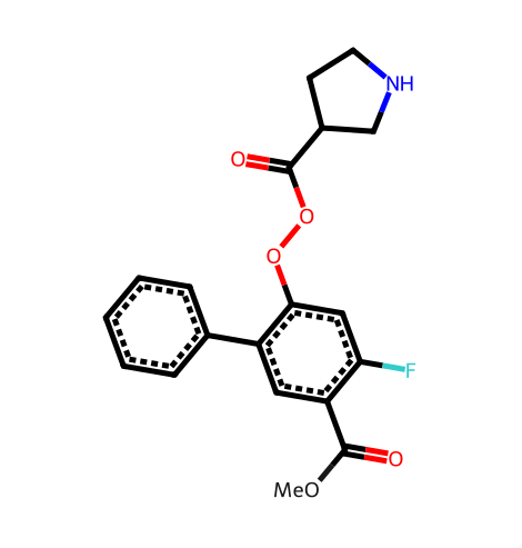 COC(=O)c1cc(-c2ccccc2)c(OOC(=O)C2CCNC2)cc1F